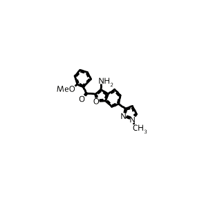 COc1ccccc1C(=O)c1oc2cc(-c3ccn(C)n3)ccc2c1N